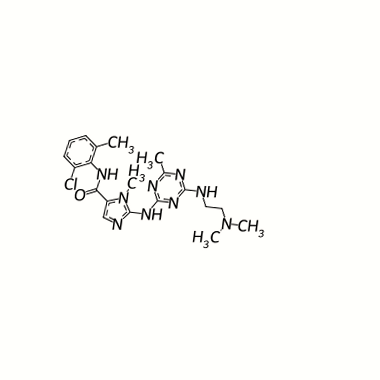 Cc1nc(NCCN(C)C)nc(Nc2ncc(C(=O)Nc3c(C)cccc3Cl)n2C)n1